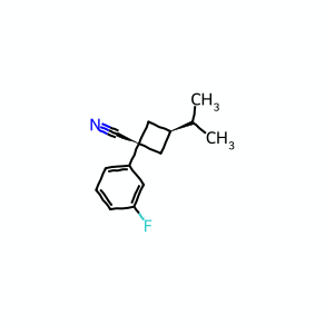 CC(C)[C@H]1C[C@](C#N)(c2cccc(F)c2)C1